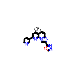 FC(F)(F)c1cc(-c2cccnc2)nc2c1ccc1nc(-c3nnco3)cn12